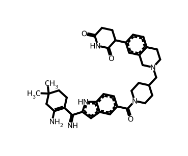 CC1(C)CCC(C(=N)c2cc3cc(C(=O)N4CCC(CN5CCc6ccc(C7CCC(=O)NC7=O)cc6C5)CC4)ccc3[nH]2)=C(N)C1